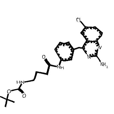 CC(C)(C)OC(=O)NCCCC(=O)Nc1cccc(-c2nc(N)nc3ccc(Cl)cc23)c1